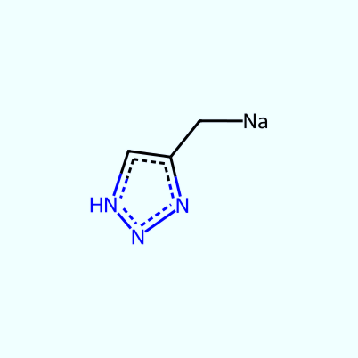 [Na][CH2]c1c[nH]nn1